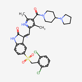 Cc1[nH]c(/C=C2\C(=O)Nc3ccc(S(=O)(=O)Cc4c(Cl)cccc4Cl)cc32)c(C)c1C(=O)N1CCC(N2CCCC2)CC1